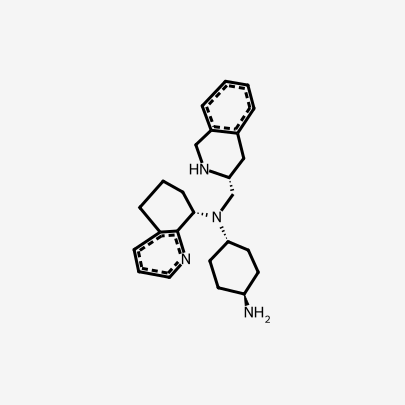 N[C@H]1CC[C@H](N(C[C@H]2Cc3ccccc3CN2)[C@H]2CCCc3cccnc32)CC1